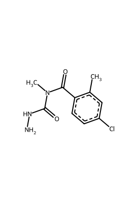 Cc1cc(Cl)ccc1C(=O)N(C)C(=O)NN